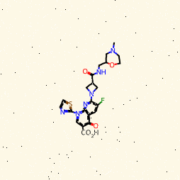 CN1CCOC(CNC(=O)C2CN(c3nc4c(cc3F)c(=O)c(C(=O)O)cn4-c3nccs3)C2)C1